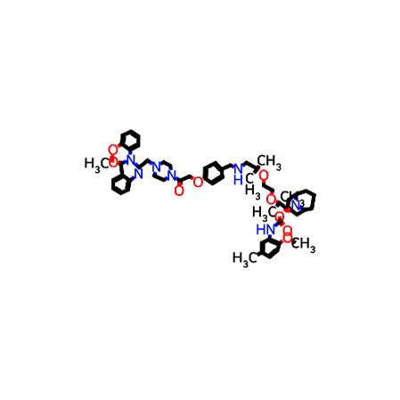 CCOc1ccccc1-n1c(CN2CCN(C(=O)COc3ccc(CNCC(C)(C)OCCOC(C)(C)CN4C5CCCC4CC(OC(=O)Nc4cc(C)ccc4OC)C5)cc3)CC2)nc2ccccc2c1=O